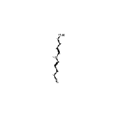 SCCC=COC=CCCS